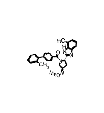 CON=C1C[C@@H](c2nc3cccc(O)c3[nH]2)N(C(=O)c2ccc(-c3ccccc3C)cc2)C1